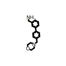 NCc1cccc(-c2ccc(CN3CCOCC3)cc2)c1